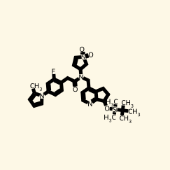 Cc1cccn1-c1ccc(CC(=O)N(Cc2ccnc3c2CCC3O[Si](C)(C)C(C)(C)C)C2C=CS(=O)(=O)C2)c(F)c1